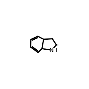 [C]1[C]C2C=CC=CC2N1